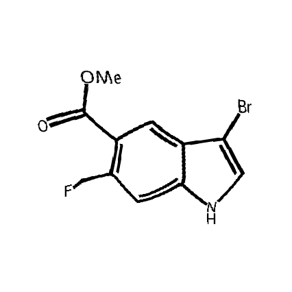 COC(=O)c1cc2c(Br)c[nH]c2cc1F